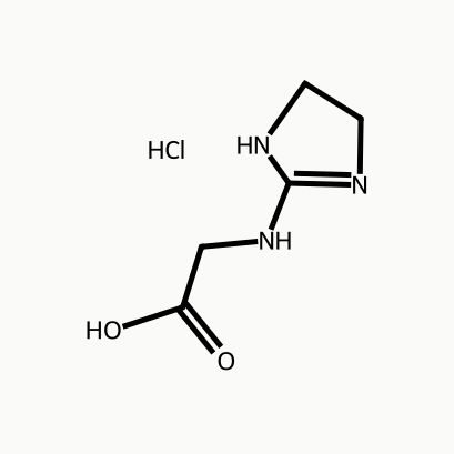 Cl.O=C(O)CNC1=NCCN1